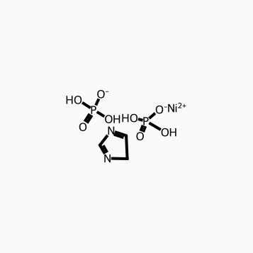 C1=NC=NC1.O=P([O-])(O)O.O=P([O-])(O)O.[Ni+2]